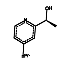 CC[CH]c1ccnc([C@H](C)O)c1